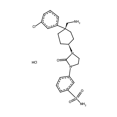 Cl.NC[C@]1(c2cccc(Cl)c2)CC[C@H](N2CCN(c3cccc(S(N)(=O)=O)c3)C2=O)CC1